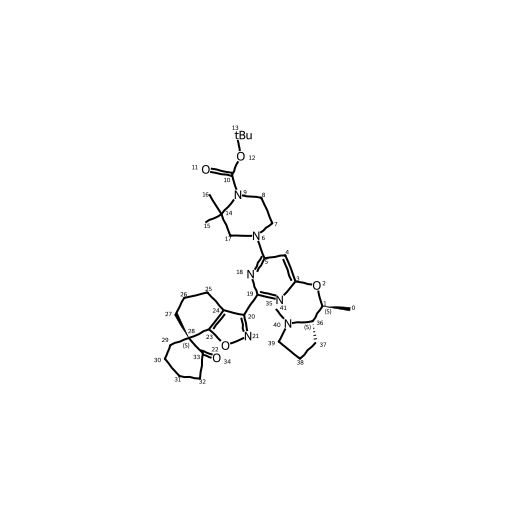 C[C@H](Oc1cc(N2CCN(C(=O)OC(C)(C)C)C(C)(C)C2)nc(-c2noc3c2CCC[C@@]32CCCCC2=O)n1)[C@@H]1CCCN1C